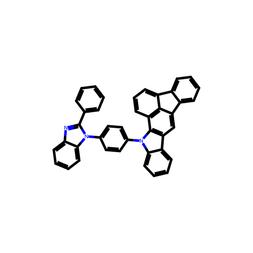 c1ccc(-c2nc3ccccc3n2-c2ccc(-n3c4ccccc4c4cc5c6c(cccc6c43)-c3ccccc3-5)cc2)cc1